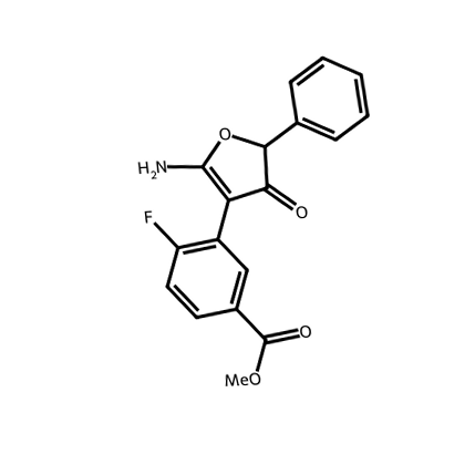 COC(=O)c1ccc(F)c(C2=C(N)OC(c3ccccc3)C2=O)c1